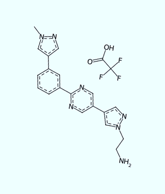 Cn1cc(-c2cccc(-c3ncc(-c4cnn(CCN)c4)cn3)c2)cn1.O=C(O)C(F)(F)F